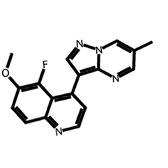 COc1ccc2nccc(-c3cnn4cc(C)cnc34)c2c1F